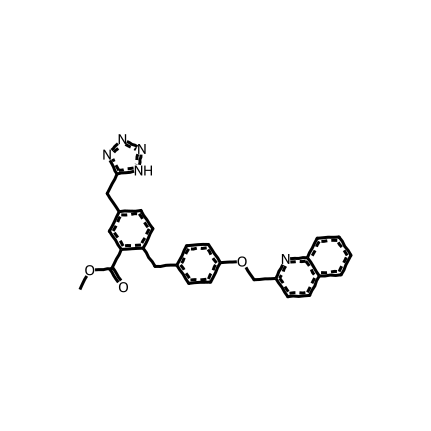 COC(=O)c1cc(Cc2nnn[nH]2)ccc1Cc1ccc(OCc2ccc3ccccc3n2)cc1